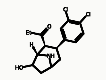 CCC(=O)[C@H]1[C@@H](c2ccc(Cl)c(Cl)c2)CC2CC(O)[C@H]1N2